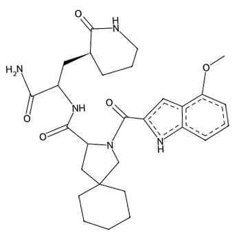 COc1cccc2[nH]c(C(=O)N3CC4(CCCCC4)CC3C(=O)NC(C[C@@H]3CCCNC3=O)C(N)=O)cc12